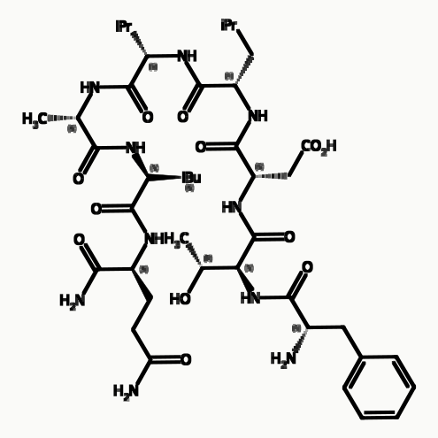 CC[C@H](C)[C@H](NC(=O)[C@H](C)NC(=O)[C@@H](NC(=O)[C@H](CC(C)C)NC(=O)[C@H](CC(=O)O)NC(=O)[C@@H](NC(=O)[C@@H](N)Cc1ccccc1)[C@@H](C)O)C(C)C)C(=O)N[C@@H](CCC(N)=O)C(N)=O